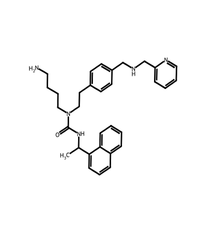 CC(NC(=O)N(CCCCN)CCc1ccc(CNCc2ccccn2)cc1)c1cccc2ccccc12